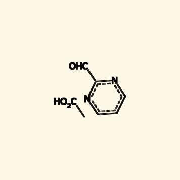 CC(=O)O.O=Cc1ncccn1